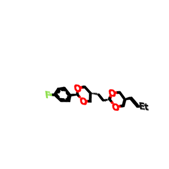 CCC=C[C@H]1CO[C@H](CC[C@H]2CO[C@H](c3ccc(F)cc3)OC2)OC1